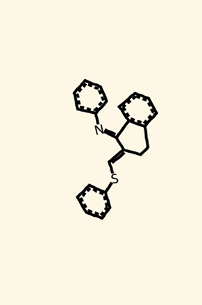 C(/Sc1ccccc1)=C1/CCc2ccccc2C1=Nc1ccccc1